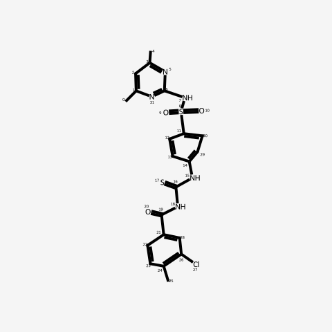 Cc1cc(C)nc(NS(=O)(=O)c2ccc(NC(=S)NC(=O)c3ccc(C)c(Cl)c3)cc2)n1